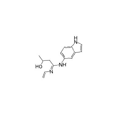 C=C/N=C(\CC(C)O)Nc1ccc2[nH]ccc2c1